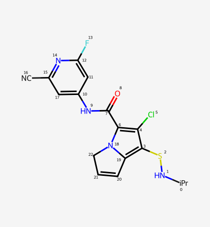 CC(C)NSc1c(Cl)c(C(=O)Nc2cc(F)nc(C#N)c2)n2c1C=CC2